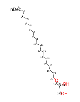 CCCCCCCCCCCCCCCCCCCCCCCCCCCCCCOCC(O)CO